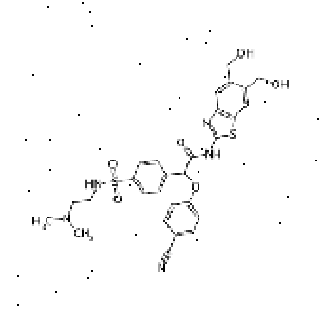 CN(C)CCNS(=O)(=O)c1ccc(C(Oc2ccc(C#N)cc2)C(=O)Nc2nc3cc(CO)c(CO)cc3s2)cc1